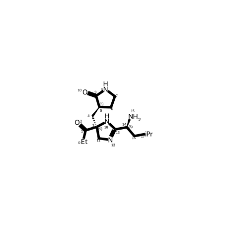 CCC(=O)[C@]1(C[C@@H]2CCNC2=O)CN=C([C@@H](N)CC(C)C)N1